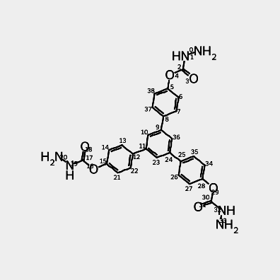 NNC(=O)Oc1ccc(-c2cc(-c3ccc(OC(=O)NN)cc3)cc(-c3ccc(OC(=O)NN)cc3)c2)cc1